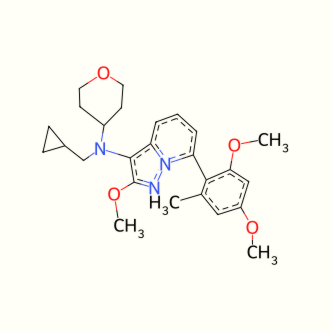 COc1cc(C)c(-c2cccc3c(N(CC4CC4)C4CCOCC4)c(OC)nn23)c(OC)c1